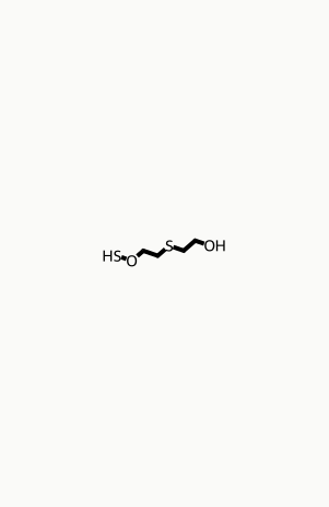 OCCSCCOS